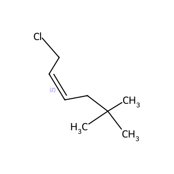 CC(C)(C)C/C=C\CCl